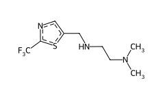 CN(C)CCNCc1cnc(C(F)(F)F)s1